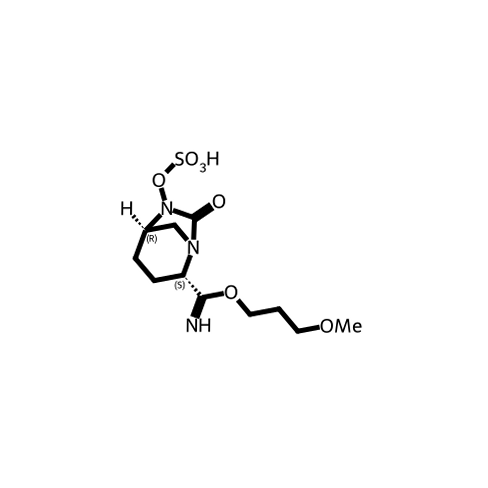 COCCCOC(=N)[C@@H]1CC[C@@H]2CN1C(=O)N2OS(=O)(=O)O